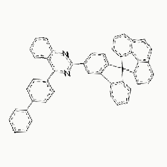 c1ccc(-c2ccc(-c3nc(-c4ccc5c(c4)-c4ccccc4C54c5cccc6ccc7cccc4c7c56)nc4ccccc34)cc2)cc1